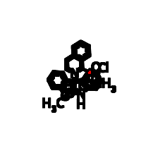 COc1ccccc1C1(N2CCc3ccccc3[C@H]2C(=O)N(C)C)C(=O)Nc2ccc(Cl)cc21